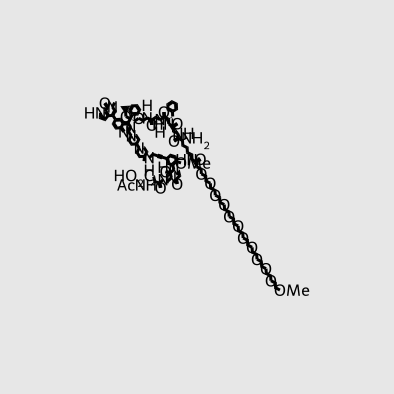 COCCOCCOCCOCCOCCOCCOCCOCCOCCOCCOCCOCCC(=O)NCCCC[C@H](N)C(=O)NCC(=O)N[C@@H](Cc1ccccc1)C(=O)NCC(=O)NCOC[C@](OC1CC1)(c1ccccc1)c1nc(N2CCC(N3CCC(C)(NCC#Cc4ccc(OC)c(N5CCC(=O)N(CNC(=O)[C@H](CC(=O)O)NC(C)=O)C5=O)c4)CC3)CC2)nc2ccc(-c3cn(C)c(=O)c4[nH]ccc34)cc12